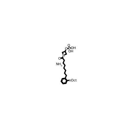 CCCCCCCCc1ccccc1CCCCCCCC(=O)N1CC(OP(=O)(O)O)C1.N